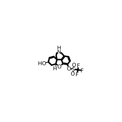 O=S(=O)(Oc1ccc2c3c1O[C@H]1C[C@@H](O)C=CC31CCNC2)C(F)(F)F